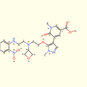 COC(=O)c1cc(-c2cnn(C)c2OCCN(CCNc2ccccc2[N+](=O)[O-])C2COC2)c(=O)n(C)c1